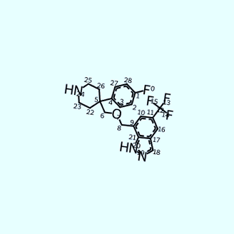 Fc1ccc(C2(COCc3cc(C(F)(F)F)cc4cn[nH]c34)CCNCC2)cc1